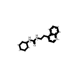 S=C(NCCc1ccnc2ccccc12)NC1CCCCC1